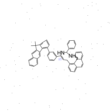 CC1(C)c2cc3ccccc3cc2-c2c(-c3cccc(/C(=C/Cc4cccc5ccc6ccccc6c45)NC(N)c4ccccc4)c3)cccc21